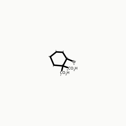 O=C(O)C1(C(=O)O)CCCCC1Br